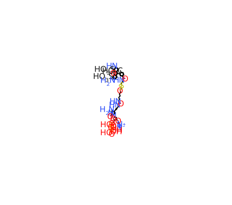 [N-]=[N+]=NCOC1C[C@H](n2cc(C#CCNC(=O)NCCCCCOCSSCCNC(=O)c3ccc(C(=O)O)c(-c4c5ccc(=N)c(S(=O)(=O)O)c-5oc5c(S(=O)(=O)O)c(N)ccc45)c3)c(N)nc2=O)O[C@@H]1COP(=O)(O)OP(=O)(O)CP(=O)(O)O